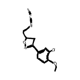 COc1ccc(C2=NOC(CN=C=S)C2)cc1Cl